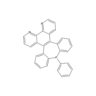 c1ccc(P2c3ccccc3-c3c(c4cccnc4c4ncccc34)-c3ccccc32)cc1